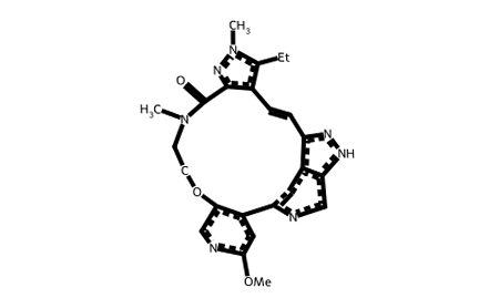 CCc1c2c(nn1C)C(=O)N(C)CCOc1cnc(OC)cc1-c1cc3c(n[nH]c3cn1)/C=C/2